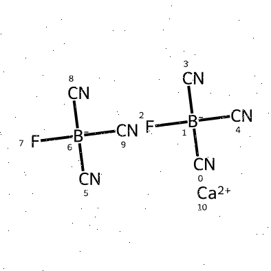 N#C[B-](F)(C#N)C#N.N#C[B-](F)(C#N)C#N.[Ca+2]